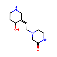 O=C1CN(CC=C2CNCCC2O)CCN1